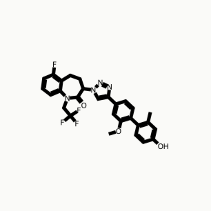 COc1cc(-c2cn(C3CCc4c(F)cccc4N(CC(F)(F)F)C3=O)nn2)ccc1-c1ccc(O)cc1C